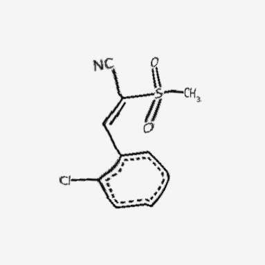 CS(=O)(=O)C(C#N)=Cc1ccccc1Cl